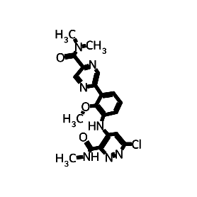 CNC(=O)c1nnc(Cl)cc1Nc1cccc(-c2cnc(C(=O)N(C)C)cn2)c1OC